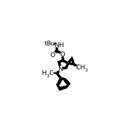 CC1CC12CN([C@H](C)c1ccccc1)CC2OC(=O)NC(C)(C)C